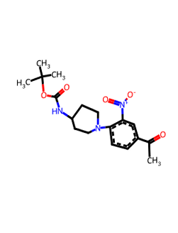 CC(=O)c1ccc(N2CCC(NC(=O)OC(C)(C)C)CC2)c([N+](=O)[O-])c1